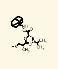 CC(C)OC[C@H](OC(=O)[C@H](C)CS)C(=O)ONC12CC3CC(CC(C3)C1)C2